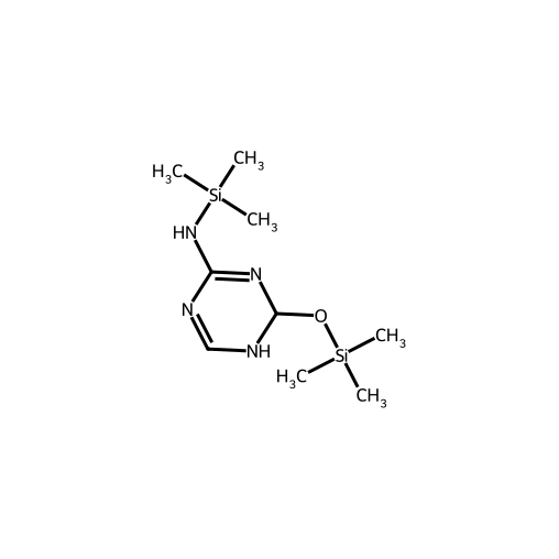 C[Si](C)(C)NC1=NC(O[Si](C)(C)C)NC=N1